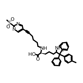 Cc1ccc(C(c2ccccc2)(c2ccccc2)C(N)CCC[C@H](NCCCCC#Cc2cnc(S(C)(=O)=O)nc2)C(=O)O)cc1